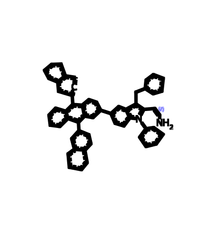 N/C=C\c1c(Cc2ccccc2)c2cc(-c3ccc4c(-c5ccc6ccccc6c5)c5ccccc5c(-c5ccc6ccccc6c5)c4c3)ccc2n1-c1ccccc1